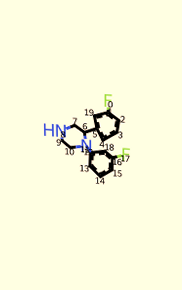 Fc1cccc(C2CNCCN2c2cccc(F)c2)c1